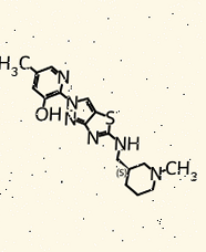 Cc1cnc(-n2cc3sc(NC[C@@H]4CCCN(C)C4)nc3n2)c(O)c1